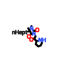 CCCCCCCC1(C)C(=O)N(CC(=O)C2CCCCN2)C(=O)N1C